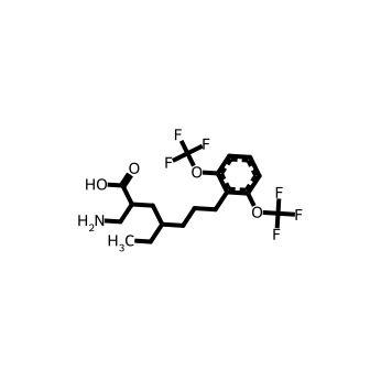 CCC(CCCc1c(OC(F)(F)F)cccc1OC(F)(F)F)CC(CN)C(=O)O